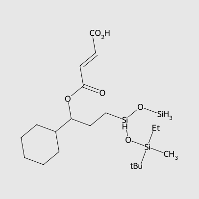 CC[Si](C)(O[SiH](CCC(OC(=O)/C=C/C(=O)O)C1CCCCC1)O[SiH3])C(C)(C)C